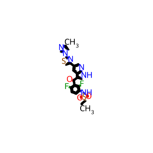 CCCS(=O)(=O)Nc1ccc(F)c(C(=O)c2c[nH]c3ncc(-c4csc(-n5cnc(C)c5)n4)cc23)c1F